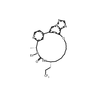 CCN1C(=O)N[C@@H](CCC(F)(F)F)CCCCCOc2nc(cn3ncnc23)-c2ccnc(c2)[C@H]1C